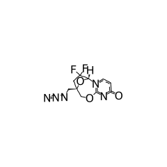 [N-]=[N+]=NC[C@]12COc3nc(=O)ccn3[C@H](O1)C(F)(F)C2